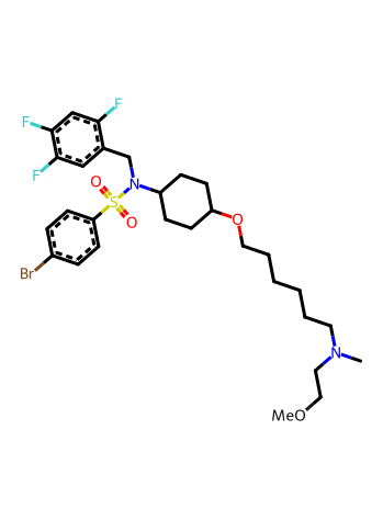 COCCN(C)CCCCCCOC1CCC(N(Cc2cc(F)c(F)cc2F)S(=O)(=O)c2ccc(Br)cc2)CC1